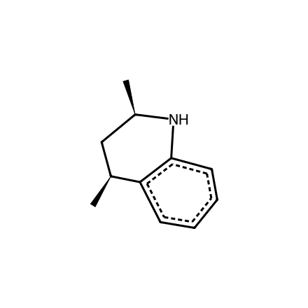 C[C@@H]1C[C@H](C)c2ccccc2N1